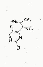 C=C(C(C)=N)c1nc(Cl)ncc1Cl